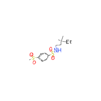 CCC(C)(C)CCNS(=O)(=O)c1ccc(S(C)(=O)=O)cc1